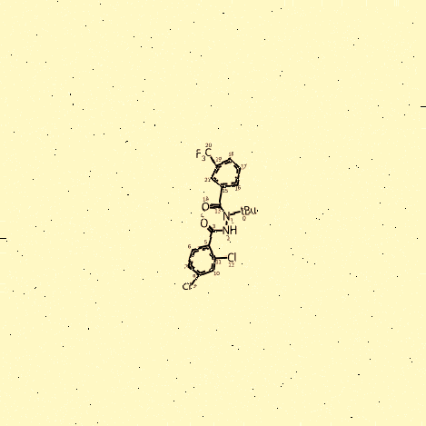 CC(C)(C)N(NC(=O)c1ccc(Cl)cc1Cl)C(=O)c1cccc(C(F)(F)F)c1